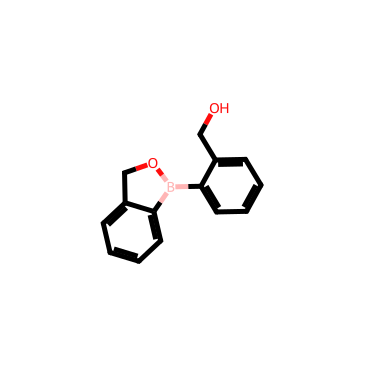 OCc1ccccc1B1OCc2ccccc21